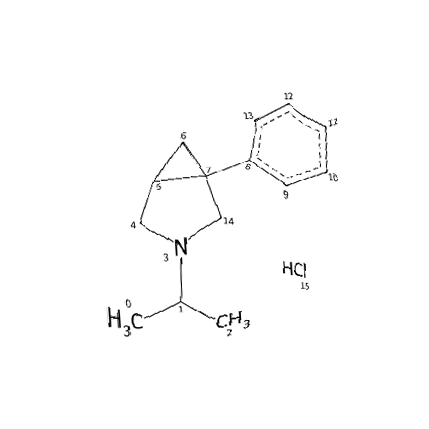 CC(C)N1CC2CC2(c2ccccc2)C1.Cl